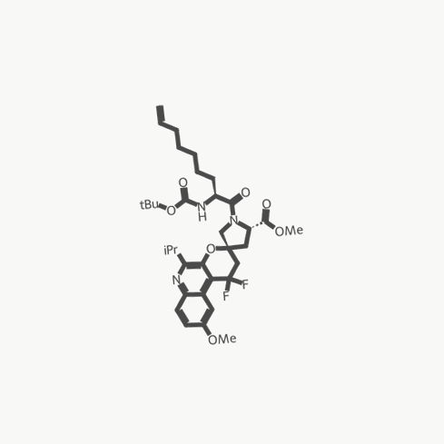 C=CCCCCC[C@H](NC(=O)OC(C)(C)C)C(=O)N1C[C@@]2(C[C@H]1C(=O)OC)CC(F)(F)c1c(c(C(C)C)nc3ccc(OC)cc13)O2